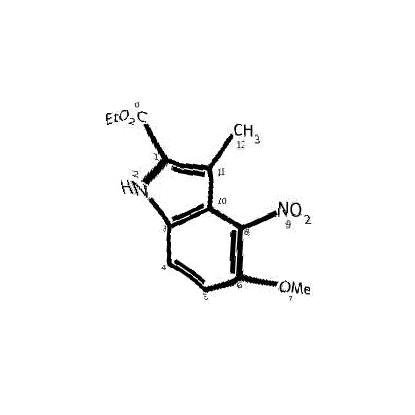 CCOC(=O)c1[nH]c2ccc(OC)c([N+](=O)[O-])c2c1C